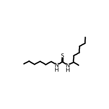 CCCCCCNC(=S)NC(C)CCCCC